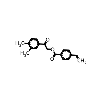 C=Cc1ccc(C(=O)OCC(=O)c2ccc(C)c(C)c2)cc1